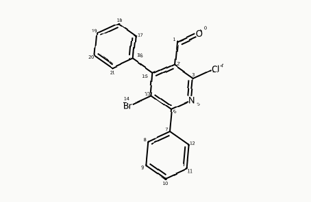 O=Cc1c(Cl)nc(-c2ccccc2)c(Br)c1-c1ccccc1